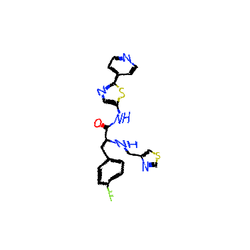 O=C(Nc1cnc(-c2ccncc2)s1)C(Cc1ccc(F)cc1)NCc1cscn1